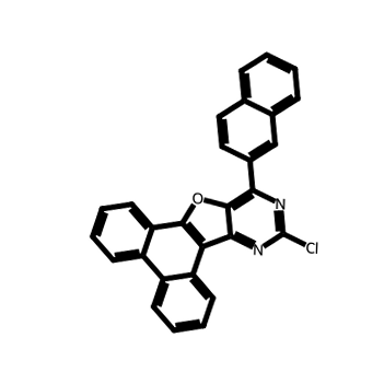 Clc1nc(-c2ccc3ccccc3c2)c2oc3c4ccccc4c4ccccc4c3c2n1